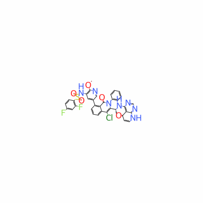 COc1ncc(-c2cccc3c(Cl)c([C@H](C)Nc4ncnc5[nH]ccc(=O)c45)n(-c4ccccc4)c(=O)c23)cc1NS(=O)(=O)c1ccc(F)cc1F